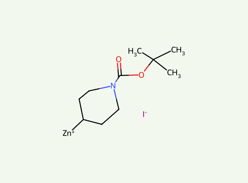 CC(C)(C)OC(=O)N1CC[CH]([Zn+])CC1.[I-]